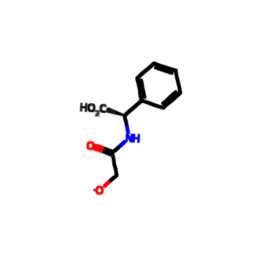 [O]CC(=O)N[C@@H](C(=O)O)c1ccccc1